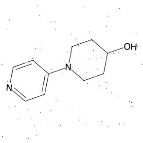 OC1CCN(c2[c]cncc2)CC1